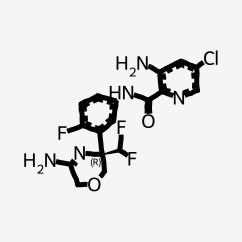 NC1=N[C@@](c2cc(NC(=O)c3ncc(Cl)cc3N)ccc2F)(C(F)F)COC1